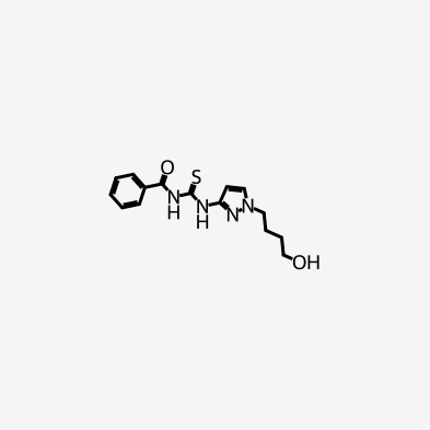 O=C(NC(=S)Nc1ccn(CCCCO)n1)c1ccccc1